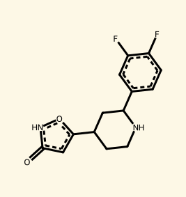 O=c1cc(C2CCNC(c3ccc(F)c(F)c3)C2)o[nH]1